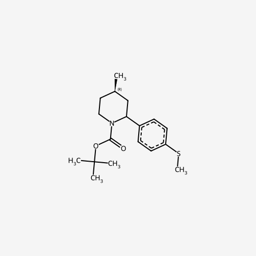 CSc1ccc(C2C[C@H](C)CCN2C(=O)OC(C)(C)C)cc1